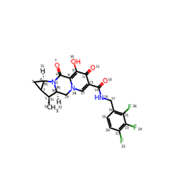 C[C@H]1C2C[C@H]2N2C(=O)c3c(O)c(=O)c(C(=O)NCc4ccc(F)c(F)c4F)cn3C[C@@H]12